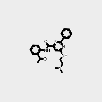 CC(=O)c1ccccc1NC(=O)c1cc(NCCN(C)C)nc(-c2ccccc2)n1